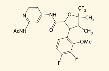 COc1c(C2C(C(=O)Nc3ccnc(NC(C)=O)c3)OC(C)(C(F)(F)F)C2C)ccc(F)c1F